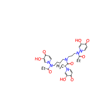 CCC(=O)N(CCCCN(CCCN(C(=O)CC)n1ccc(=O)c(O)c1)C(=O)C(C)n1ccc(=O)c(O)c1)n1ccc(=O)c(O)c1